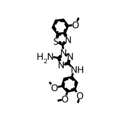 COc1cc(Nc2nc(N)n(-c3nc4c(OC)cccc4s3)n2)cc(OC)c1OC